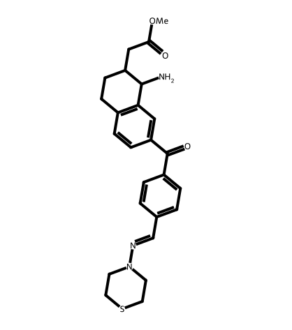 COC(=O)CC1CCc2ccc(C(=O)c3ccc(C=NN4CCSCC4)cc3)cc2C1N